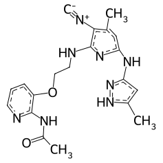 [C-]#[N+]c1c(C)cc(Nc2cc(C)[nH]n2)nc1NCCOc1cccnc1NC(C)=O